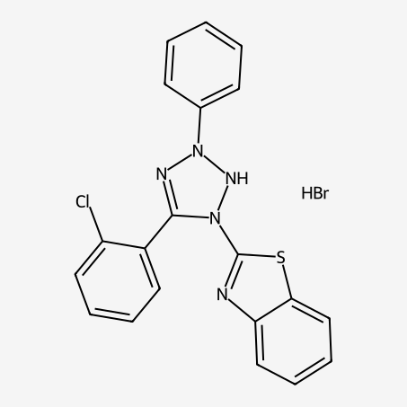 Br.Clc1ccccc1C1=NN(c2ccccc2)NN1c1nc2ccccc2s1